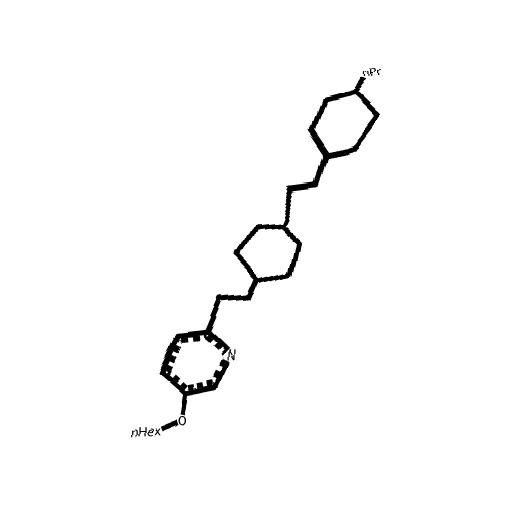 CCCCCCOc1ccc(CCC2CCC(CCC3CCC(CCC)CC3)CC2)nc1